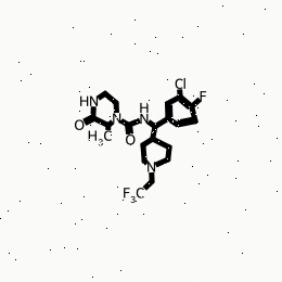 CC1C(=O)NCCN1C(=O)NC(c1ccc(F)c(Cl)c1)C1CCN(CC(F)(F)F)CC1